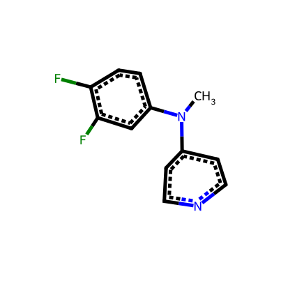 CN(c1ccncc1)c1ccc(F)c(F)c1